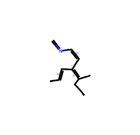 C=N\C=C/C(/C=C/C)=C(\C)CC